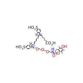 Cc1c(C)c2c(c(C)c1O)CCC(C)(C(=O)NCCOCCOCCOCC[N+]1=C(/C=C/C=C/C=C3/N(CCCCCC(=O)O)c4ccc(S(=O)(=O)O)cc4C3(C)C)C(C)(C)c3cc(S(=O)(=O)O)ccc31)O2